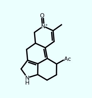 CC(=O)C1CCC2NCC3=C2C1=C1C=C(C)[N+](=O)CC1C3